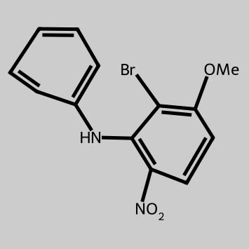 COc1ccc([N+](=O)[O-])c(Nc2ccccc2)c1Br